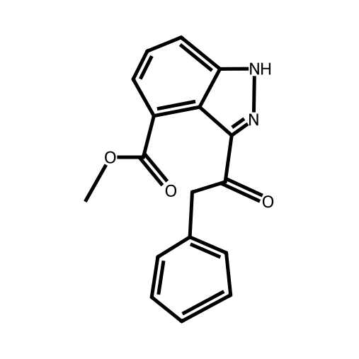 COC(=O)c1cccc2[nH]nc(C(=O)Cc3ccccc3)c12